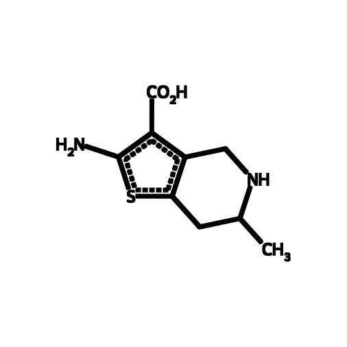 CC1Cc2sc(N)c(C(=O)O)c2CN1